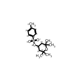 Cc1ccc(S(=O)(=O)OC2CC(C)(C)OC(C)(C)C2)cc1